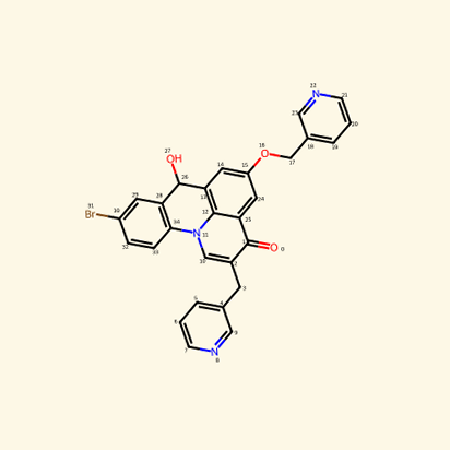 O=c1c(Cc2cccnc2)cn2c3c(cc(OCc4cccnc4)cc13)C(O)c1cc(Br)ccc1-2